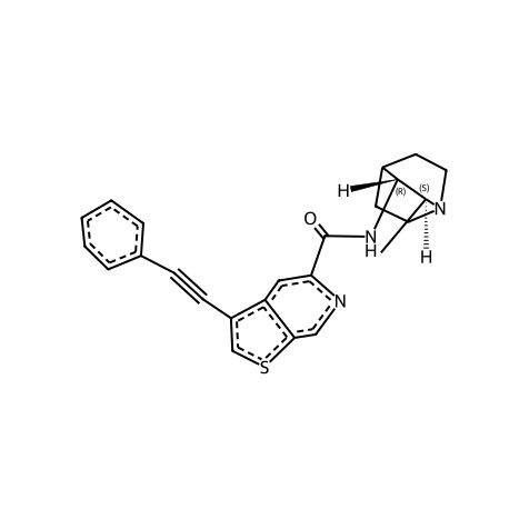 C[C@H]1[C@H](NC(=O)c2cc3c(C#Cc4ccccc4)csc3cn2)C2CCN1CC2